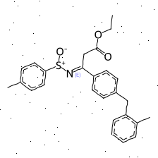 CCOC(=O)C/C(=N\[S+]([O-])c1ccc(C)cc1)c1ccc(Cc2ccccc2C)cc1